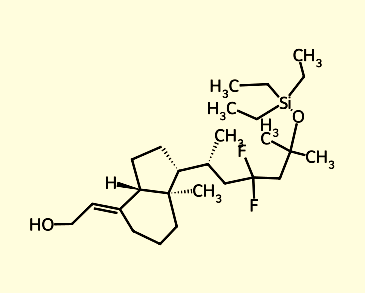 CC[Si](CC)(CC)OC(C)(C)CC(F)(F)C[C@@H](C)[C@H]1CC[C@H]2/C(=C/CO)CCC[C@]12C